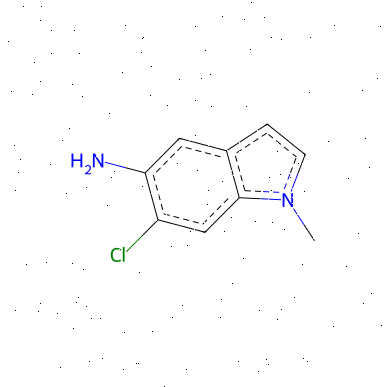 Cn1ccc2cc(N)c(Cl)cc21